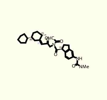 CNC(=O)Nc1ccc2c(c1)CC[C@@H]2C(=O)N(CC(=O)/C=C1/C[C@H](C2CCCCC2)CC[C@@H]1C)C(=O)C=O